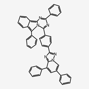 c1ccc(-c2cc(-c3ccccc3)c3nc(-c4ccc(-c5nc(-c6ccccc6)nc6c7ccccc7c(-c7ccccc7)n56)cc4)nn3c2)cc1